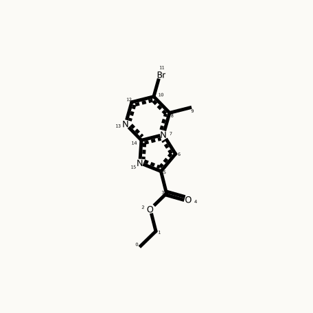 CCOC(=O)c1cn2c(C)c(Br)cnc2n1